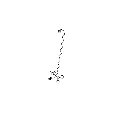 CCCC=CCCCCCCCCCCCC(CCC)(P(=O)=O)[N+](C)(C)C